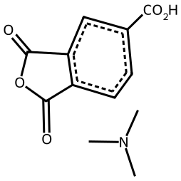 CN(C)C.O=C(O)c1ccc2c(c1)C(=O)OC2=O